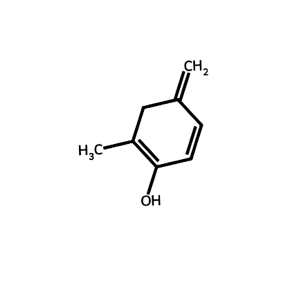 C=C1C=CC(O)=C(C)C1